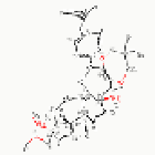 C=C(C)c1ccc(C2CC3=C4CC[C@@]5(C)[C@@H](CC[C@@]5(O)COC)[C@@H]4CC[C@@]3(O)CC23OCC(C)(C)CO3)cc1